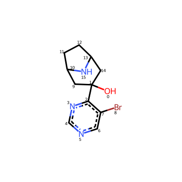 OC1(c2ncncc2Br)CC2CCC(C1)N2